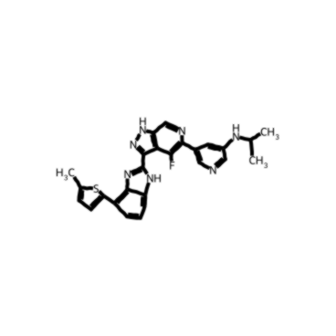 Cc1ccc(-c2cccc3[nH]c(-c4n[nH]c5cnc(-c6cncc(NC(C)C)c6)c(F)c45)nc23)s1